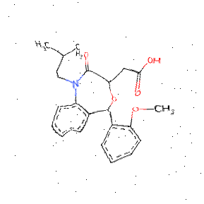 COc1ccccc1C1OC(CC(=O)O)C(=O)N(CC(C)C)c2ccccc21